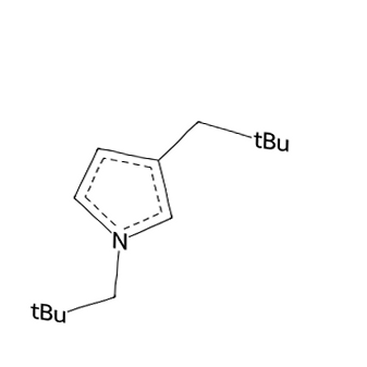 CC(C)(C)Cc1ccn(CC(C)(C)C)c1